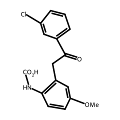 COc1ccc(NC(=O)O)c(CC(=O)c2cccc(Cl)c2)c1